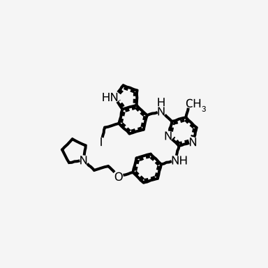 Cc1cnc(Nc2ccc(OCCN3CCCC3)cc2)nc1Nc1ccc(CI)c2[nH]ccc12